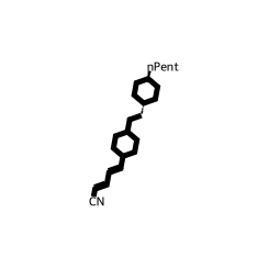 CCCCC[C@H]1CC[C@H](CCC2CCC(C=CC=CC#N)CC2)CC1